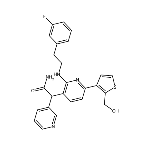 NC(=O)C(c1cccnc1)c1ccc(-c2ccsc2CO)nc1NCCc1cccc(F)c1